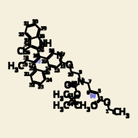 CCOC(=O)/C=C/CN(CCOc1ccc(/C(=C(/CC)c2ccccc2)c2[nH]c3ccccc3c2Cl)cn1)C(=O)OC(C)(C)C